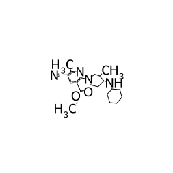 CCOC(=O)c1cc(C#N)c(C)nc1N1CCC(NC2CCCCC2)C(C)C1